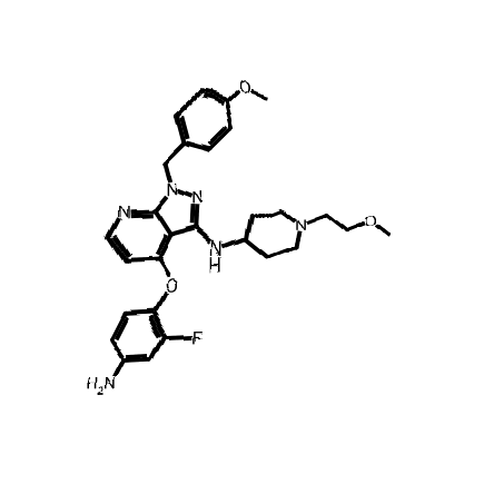 COCCN1CCC(Nc2nn(Cc3ccc(OC)cc3)c3nccc(Oc4ccc(N)cc4F)c23)CC1